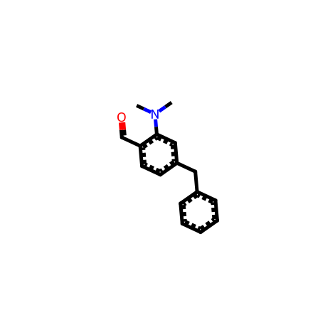 CN(C)c1cc(Cc2ccccc2)ccc1C=O